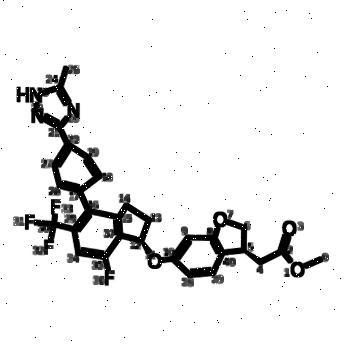 COC(=O)C[C@@H]1COc2cc(O[C@@H]3CCc4c(-c5ccc(-c6n[nH]c(C)n6)cc5)c(C(F)(F)F)cc(F)c43)ccc21